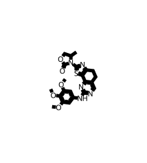 COc1cc(Nc2ncc3c(n2)-c2sc(N4C(=O)OCC4C)nc2CC3)cc(OC)c1OC